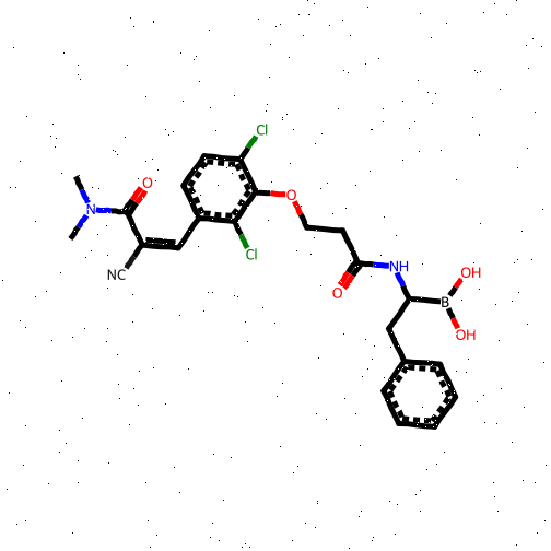 CN(C)C(=O)C(C#N)=Cc1ccc(Cl)c(OCCC(=O)NC(Cc2ccccc2)B(O)O)c1Cl